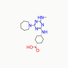 CNc1nc(N[C@H]2CC[C@@H](C(=O)O)CC2)nc(N2CCCCCC2)n1